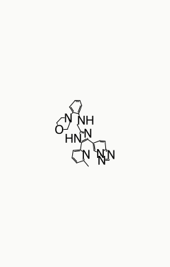 Cc1cccc(-c2[nH]c(CNc3ccccc3N3CCOCC3)nc2-c2ccc3ncnn3c2)n1